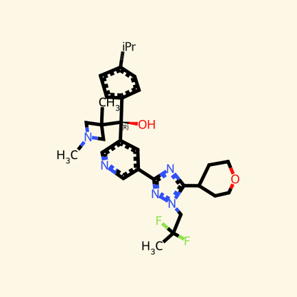 CC(C)c1ccc([C@](O)(c2cncc(-c3nc(C4CCOCC4)n(CC(C)(F)F)n3)c2)C2(C)CN(C)C2)cc1